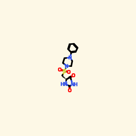 O=C1NC(=O)[C@@H](CS(=O)(=O)N2CCN(c3ccccc3)CC2)N1